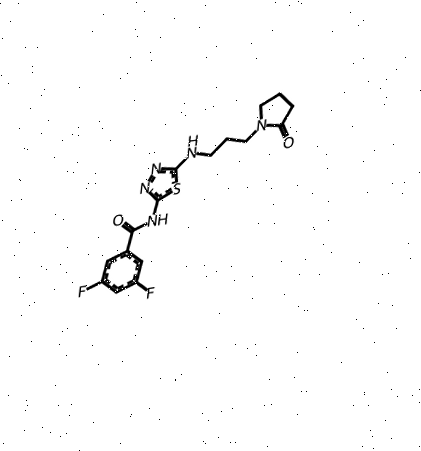 O=C(Nc1nnc(NCCCN2CCCC2=O)s1)c1cc(F)cc(F)c1